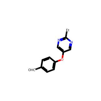 CCc1ncc(Oc2ccc(C=O)cc2)cn1